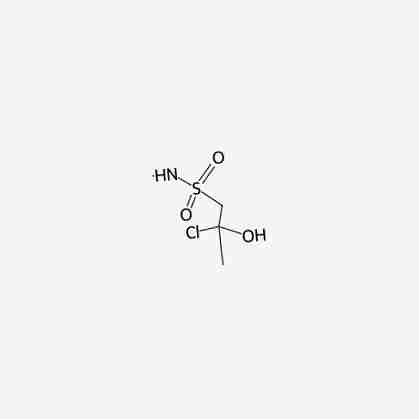 CC(O)(Cl)CS([NH])(=O)=O